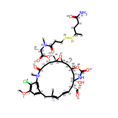 COc1cc2cc(c1Cl)N(C)C(=O)C[C@H](OC(=O)[C@H](C)N(C)C(=O)CCSSC(C)CCC(N)=O)[C@]1(C)OC1[C@H](C)[C@@H]1C[C@@](O)(NC(=O)O1)[C@H](C=O)/C=C/C=C(\C)C2